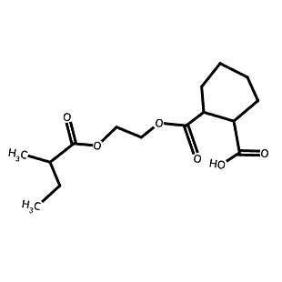 CCC(C)C(=O)OCCOC(=O)C1CCCCC1C(=O)O